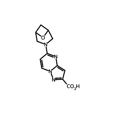 O=C(O)c1cc2nc(N3CC4CC(C3)O4)ccn2n1